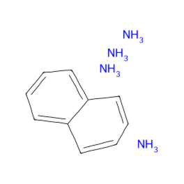 N.N.N.N.c1ccc2ccccc2c1